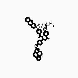 CC(CC(CC(C)c1ccc(Oc2ccc3cc4ccccc4cc3c2)cc1)c1ccc(OC2CC34CCC5C6CCC7(CCC(C2C3)C4C57)C6)cc1)c1ccc(OCC(C(F)(F)F)C(F)(F)F)cc1